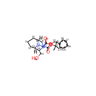 CC(C)(C)OC(=O)N1C[C@@H]2CCC[C@H]([C@@H]1CO)N2CC(=O)OCc1ccccc1